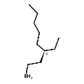 BCC[C@H](CC)CCCCC